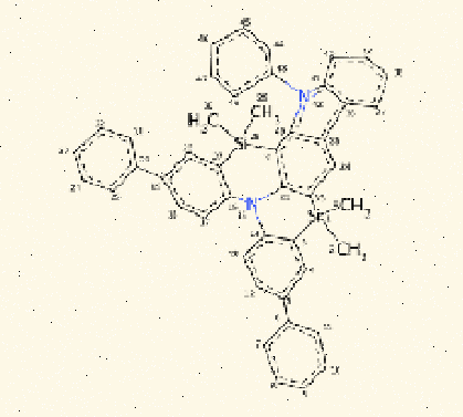 C[Si]1(C)c2cc(-c3ccccc3)ccc2N2c3ccc(-c4ccccc4)cc3[Si](C)(C)c3c2c1cc1c2ccccc2n(-c2ccccc2)c31